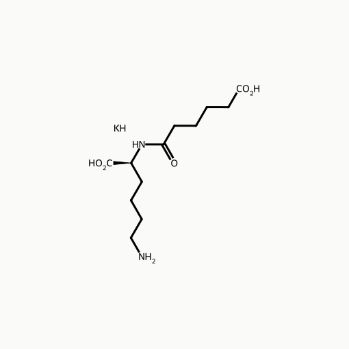 NCCCC[C@H](NC(=O)CCCCC(=O)O)C(=O)O.[KH]